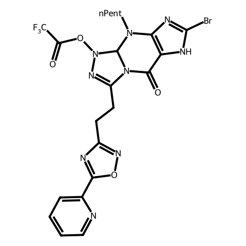 CCCCCN1c2nc(Br)[nH]c2C(=O)N2C(CCc3noc(-c4ccccn4)n3)=NN(OC(=O)C(F)(F)F)C21